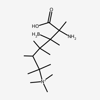 BC(C)(C(C)(N)C(=O)O)C(C)(C)C(C)C(C)(C)[N+](C)(C)C